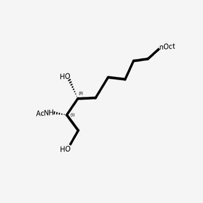 CCCCCCCCCCCCC[C@@H](O)[C@H](CO)NC(C)=O